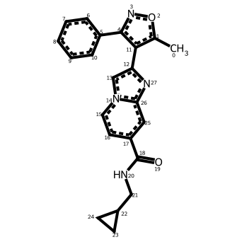 Cc1onc(-c2ccccc2)c1-c1cn2ccc(C(=O)NCC3CC3)cc2n1